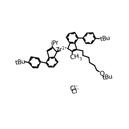 CC1=C(CCCCCCOC(C)(C)C)c2c(-c3ccc(C(C)(C)C)cc3)cccc2[CH]1[Zr+2][CH]1C(C(C)C)=Cc2c(-c3ccc(C(C)(C)C)cc3)cccc21.[Cl-].[Cl-]